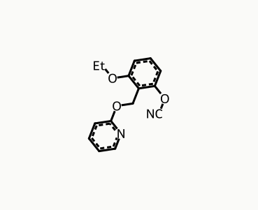 CCOc1cccc(OC#N)c1COc1ccccn1